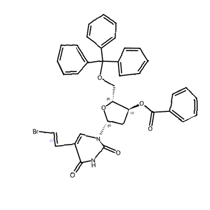 O=C(O[C@H]1C[C@H](n2cc(/C=C/Br)c(=O)[nH]c2=O)O[C@@H]1COC(c1ccccc1)(c1ccccc1)c1ccccc1)c1ccccc1